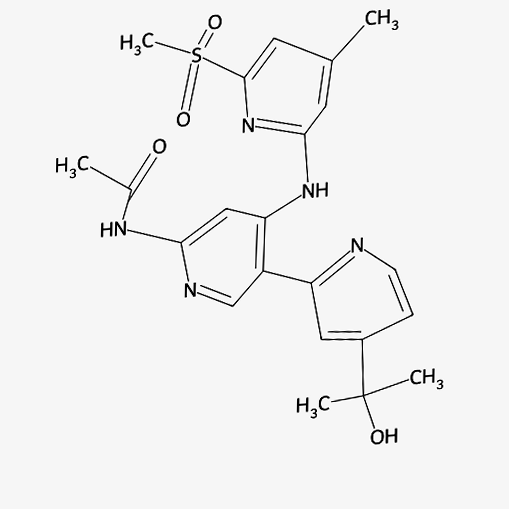 CC(=O)Nc1cc(Nc2cc(C)cc(S(C)(=O)=O)n2)c(-c2cc(C(C)(C)O)ccn2)cn1